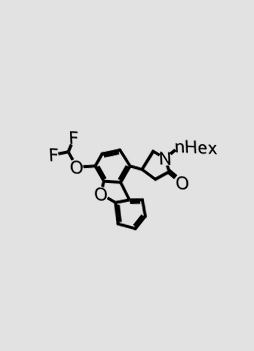 CCCCCCN1CC(c2ccc(OC(F)F)c3oc4ccccc4c23)CC1=O